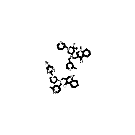 Cc1cc(CN(Cc2cn(C)c3ccccc3c2=O)C2CN(c3cccnc3)CC(F)(F)C2)ccn1.Cc1cc(CN(Cc2cn(C)c3ccccc3c2=O)[C@H]2CCCN(c3ncc(Br)cn3)C2)ccn1